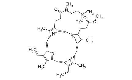 C=CC1=C(C)C2=NC1=CC1=NC(=CC3=NC(=CC4=NC(=C2)C(C=C)=C4C)C(C)C3CCC(=O)OC)C(CCC(=O)N(C)CCN(C)C)=C1C